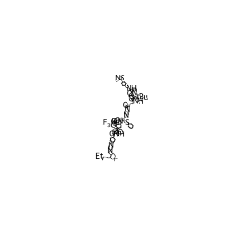 C=C(CC)CCC1=C(CN2CCN(c3ccc(C(=O)NS(=O)(=O)c4ccc(N[C@H](CCN5CCN(C(=O)CCCC(=O)N[C@H](C(=O)N6CCC[C@H]6C(=O)NCc6ccc(-c7scnc7C)cc6)C(C)(C)C)CC5)CSc5ccccc5)c(S(=O)(=O)C(F)(F)F)c4)cc3)CC2)CCC(C)(C)C1